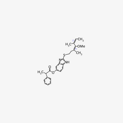 C/C=C(C)\C(OC)=C(\C)CCSc1nc2cc(OC(=O)C(C)c3ccccc3)ccc2[nH]1